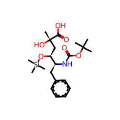 CC(C)(C)OC(=O)N[C@@H](Cc1ccccc1)[C@H](C[C@](C)(O)C(=O)O)O[Si](C)(C)C